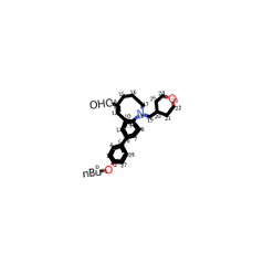 CCCCOc1ccc(-c2ccc3c(c2)/C=C(/C=O)CCCN3CC2CCOCC2)cc1